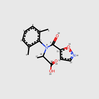 Cc1cccc(C)c1N(C(=O)c1ccno1)C(C)C(=O)O